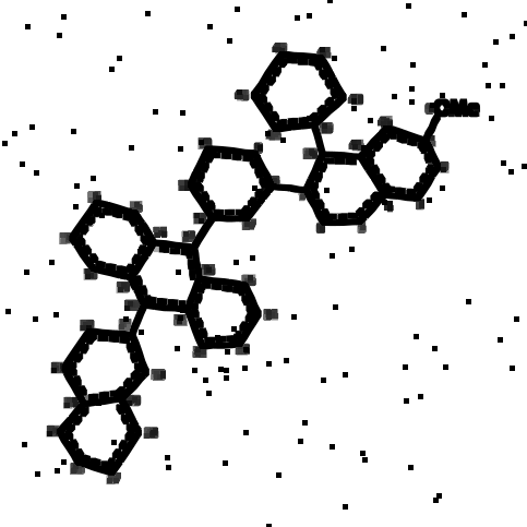 COc1ccc2ccc(-c3cccc(-c4c5ccccc5c(-c5ccc6ccccc6c5)c5ccccc45)c3)c(-c3ccccc3)c2c1